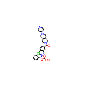 O=C(O)O[N+]1(Cc2ccccc2Cl)CCc2ccc(C(=O)N3CCC4(CC3)CCN(c3ccncc3)CC4)cc2C1